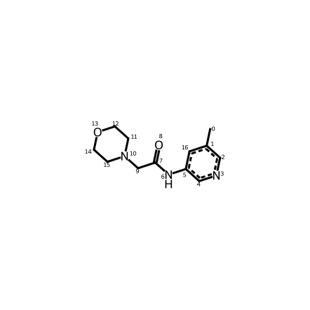 Cc1cncc(NC(=O)CN2CCOCC2)c1